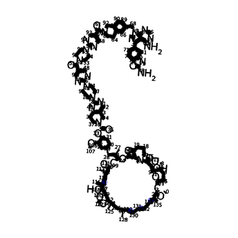 CO[C@H]1C[C@@H]2CC[C@@H](C)[C@@](O)(O2)C(=O)C(=O)N2CCCC[C@H]2C(=O)O[C@H]([C@H](C)C[C@@H]2CC[C@@H](OC(=O)N3CCc4nc(N5CCN(c6ncc(C(=O)N7CCN(c8ncc(C(=O)N9CCc%10cc(Cn%11nc(-c%12ccc%13oc(N)nc%13c%12)c%12c(N)ncnc%12%11)ccc%10C9)cn8)CC7)cn6)CC5)ncc4C3)[C@H](OC)C2)CC(=O)[C@H](C)/C=C(\C)[C@@H](O)[C@@H](OC)C(=O)[C@H](C)C[C@H](C)/C=C/C=C/C=C/1C